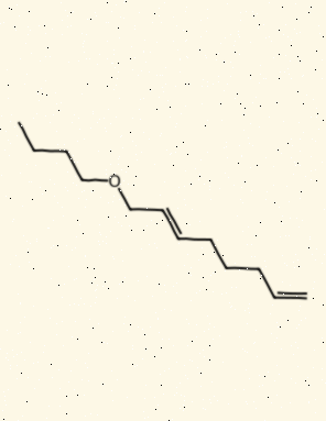 C=CCCC/C=C/COCCCC